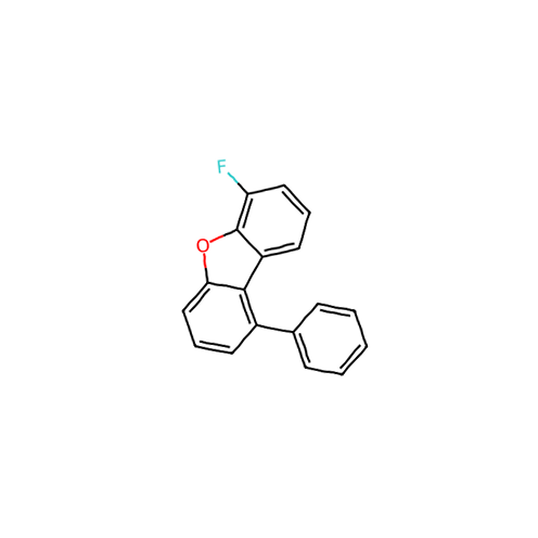 Fc1cccc2c1oc1cccc(-c3ccccc3)c12